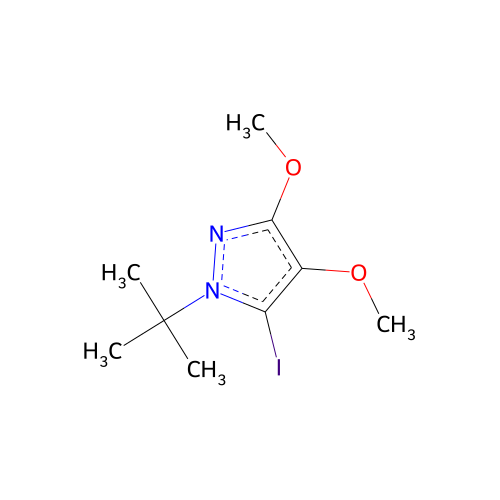 COc1nn(C(C)(C)C)c(I)c1OC